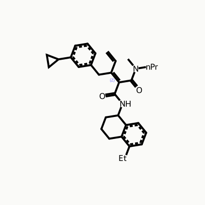 C=C/C(Cc1cccc(C2CC2)c1)=C(/C(=O)NC1CCCc2c(CC)cccc21)C(=O)N(C)CCC